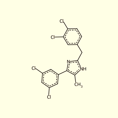 Cc1[nH]c(Cc2ccc(Cl)c(Cl)c2)nc1-c1cc(Cl)cc(Cl)c1